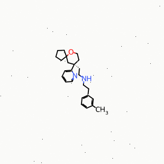 Cc1cccc(CCNCC[C@@]2(c3ccccn3)CCOC3(CCCC3)C2)c1